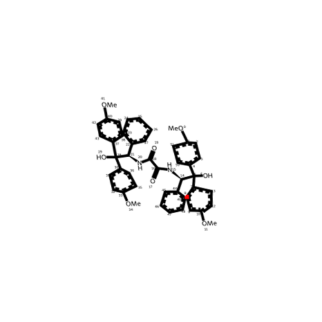 COc1ccc(C(O)(c2ccc(OC)cc2)[C@H](NC(=O)C(=O)N[C@H](c2ccccc2)C(O)(c2ccc(OC)cc2)c2ccc(OC)cc2)c2ccccc2)cc1